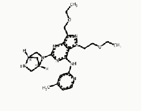 CCOCCn1nc(COCC)c2nc(N3C[C@@H]4C[C@H]3CN4)nc(Nc3cc(C)ccn3)c21